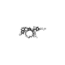 CN1C/C=C/CCCCN2C[C@@]3(CCCc4cc(Cl)ccc43)COc3ccc(cc32)[C@](O)(C(=O)Nc2ccc(C(=O)O)cc2)CC1=O